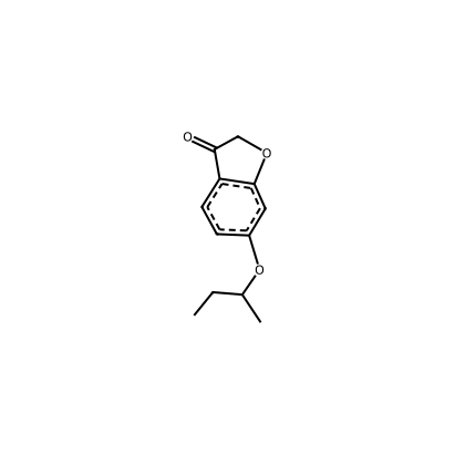 CCC(C)Oc1ccc2c(c1)OCC2=O